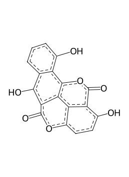 O=c1oc2c3c(O)cccc3c(O)c3c(=O)oc4ccc(O)c1c4c32